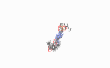 CS(=O)(=O)C1CN(c2ncc(N3CCC(Cc4ccc(C(=O)C5CC5)cc4)C3=O)cn2)C1